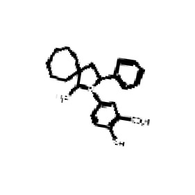 CC1N(c2ccc(O)c(C(=O)O)c2)C(c2ccccc2)CC12CCCCCC2